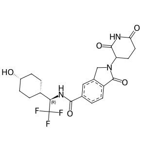 O=C1CCC(N2Cc3cc(C(=O)N[C@H]([C@H]4CC[C@@H](O)CC4)C(F)(F)F)ccc3C2=O)C(=O)N1